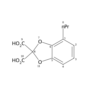 CCCc1cccc2c1OC(C(=O)O)(C(=O)O)O2